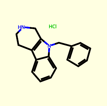 Cl.c1ccc(Cn2c3c(c4ccccc42)CCNC3)cc1